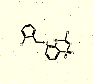 O=S1(=O)N=C(Cl)Nc2c(NCc3ccccc3Cl)cccc21